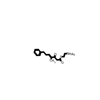 CC(=O)NCCSC(=O)CC(=O)/C(C)=C/CCc1ccccc1